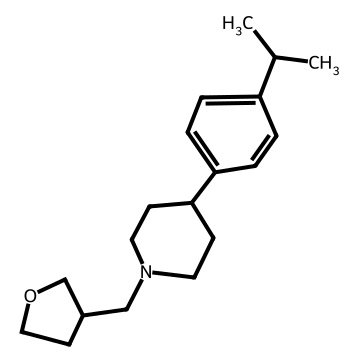 CC(C)c1ccc(C2CCN(CC3CCOC3)CC2)cc1